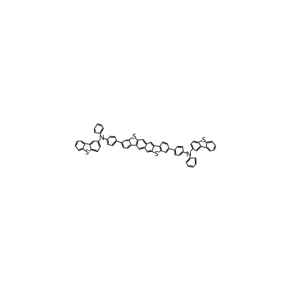 c1ccc(N(c2ccc(-c3ccc4c(c3)sc3cc5cc6c(cc5cc34)sc3cc(-c4ccc(N(c5ccccc5)c5ccc7sc8ccccc8c7c5)cc4)ccc36)cc2)c2ccc3sc4ccccc4c3c2)cc1